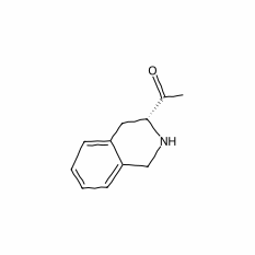 CC(=O)[C@H]1Cc2ccccc2CN1